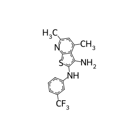 Cc1cc(C)c2c(N)c(Nc3cccc(C(F)(F)F)c3)sc2n1